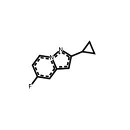 Fc1ccn2nc(C3CC3)cc2c1